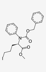 COC(=O)[C@@H](CCCI)N(C(=O)OCc1ccccc1)c1ccccc1